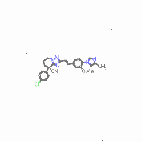 COc1cc(/C=C/c2nc3n(n2)CCC[C@@]3(C#N)c2ccc(Cl)cc2)ccc1-n1cnc(C)c1